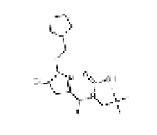 CC(C1=NN(CCC2CCCC2)C(=O)C1)N(CC(C)(C)C)C(=O)O